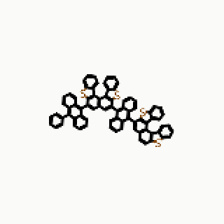 c1ccc(-c2c3ccccc3c(-c3cc4cc(-c5c6ccccc6c(-c6cc7ccc8sc9ccccc9c8c7c7c6sc6ccccc67)c6ccccc56)c5sc6ccccc6c5c4c4c3sc3ccccc34)c3ccccc23)cc1